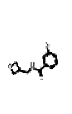 O=C(NCC1COC1)c1cccc(Br)c1